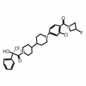 O=C(c1ccc(N2CCC(C3CCN(C(=O)[C@](O)(c4ccccc4)C(F)(F)F)CC3)CC2)cc1Cl)N1CC(F)C1